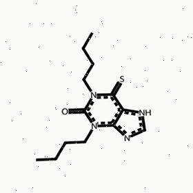 CCCCn1c(=S)c2[nH]cnc2n(CCCC)c1=O